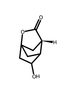 O=C1OC23CC(O)C(C2)[C@@H]1C3